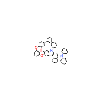 c1ccc(-c2ccc3c(c2)B2c4cc5c(cc4Oc4cccc(c42)O3)c2c3ccccc3c(N(c3ccccc3)c3ccccc3)cc2n5-c2ccccc2)cc1